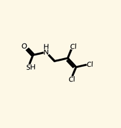 O=C(S)NCC(Cl)=C(Cl)Cl